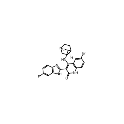 O=c1[nH]c2ccc(Br)cc2c(N[C@H]2CN3CCC2CC3)c1-c1nc2ccc(F)cc2[nH]1